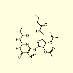 CCCC(=O)NC[C@H]1O[C@@H](n2cnc3c(=O)[nH]c(NC(=O)C(C)C)nc32)[C@H](OC(C)=O)[C@@H]1OC(C)=O